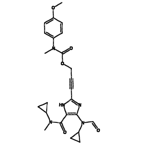 COc1ccc(N(C)C(=O)OCC#Cc2nc(N(C=O)C3CC3)c(C(=O)N(C)C3CC3)[nH]2)cc1